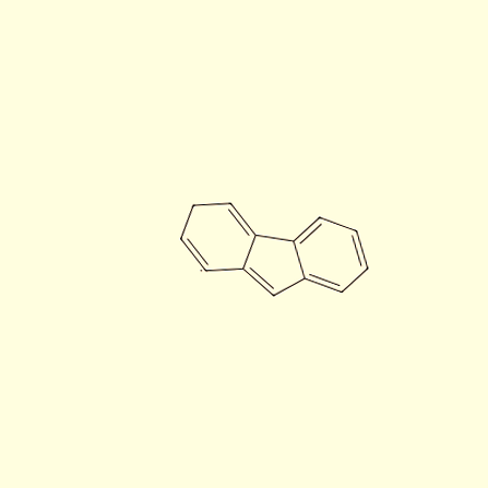 [C]1=CCC=C2C1=Cc1ccccc12